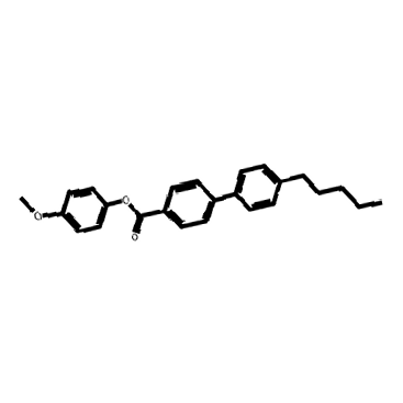 CCCCCc1ccc(-c2ccc(C(=O)Oc3ccc(OC)cc3)cc2)cc1